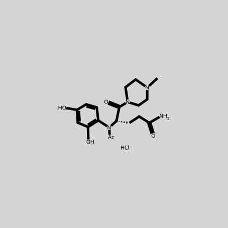 CC(=O)N(c1ccc(O)cc1O)[C@@H](CCC(N)=O)C(=O)N1CCN(C)CC1.Cl